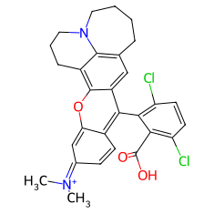 C[N+](C)=c1ccc2c(-c3c(Cl)ccc(Cl)c3C(=O)O)c3cc4c5c(c3oc-2c1)CCCN5CCCC4